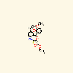 CCOC(=O)C[C@H]1O[C@H](c2cccc(OC)c2OC)c2cc(CC)ccc2NC1=S